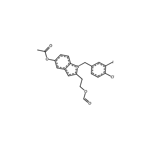 CC(=O)Oc1ccc2c(c1)cc(CCOC=O)n2Cc1ccc(Cl)c(I)c1